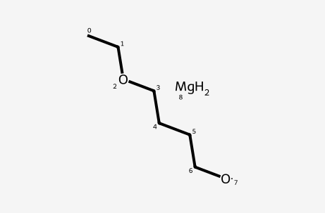 CCOCCCC[O].[MgH2]